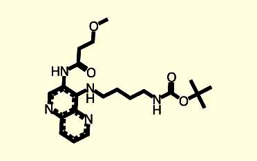 COCCC(=O)Nc1cnc2cccnc2c1NCCCCNC(=O)OC(C)(C)C